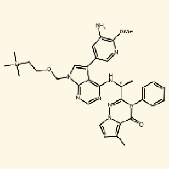 COc1ncc(-c2cn(COCC[Si](C)(C)C)c3ncnc(N[C@@H](C)c4nn5ccc(C)c5c(=O)n4-c4ccccc4)c23)cc1N